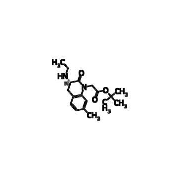 CCN[C@H]1Cc2ccc(C)cc2N(CC(=O)OC(C)(C)C)C1=O